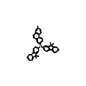 Cc1ccc2c(ccc3cc(N(c4ccc5c(c4)C(C)(C)c4ccccc4-5)c4ccc5c(c4)C(C)(C)c4ccccc4-5)ccc32)c1